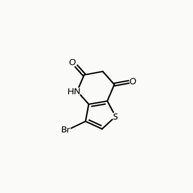 O=C1CC(=O)c2scc(Br)c2N1